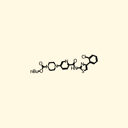 CCCCOC(=O)N1CCN(c2ccc(C(=O)Nc3nc(-c4ccccc4Cl)cs3)nc2)CC1